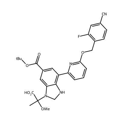 COC(C)(C(=O)O)N1CNc2c(-c3cccc(OCc4ccc(C#N)cc4F)n3)cc(C(=O)OC(C)(C)C)cc21